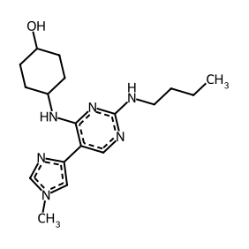 CCCCNc1ncc(-c2cn(C)cn2)c(NC2CCC(O)CC2)n1